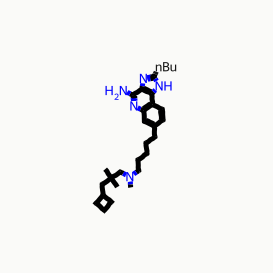 CCCCc1nc2c(N)nc3cc(CCCCCN(C)CC(C)(C)CC4CCC4)ccc3c2[nH]1